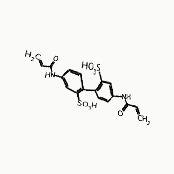 C=CC(=O)Nc1ccc(-c2ccc(NC(=O)C=C)cc2S(=O)(=O)O)c(S(=O)(=O)O)c1